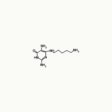 NCCCCCNc1nc(N)[nH]c(=O)c1N